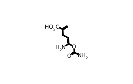 C=C(C/C=C(\N)OC(N)=O)C(=O)O